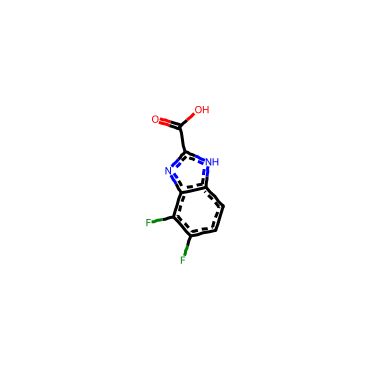 O=C(O)c1nc2c(F)c(F)ccc2[nH]1